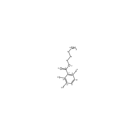 O=C(OCCC[SiH3])c1c(I)ccc(I)c1I